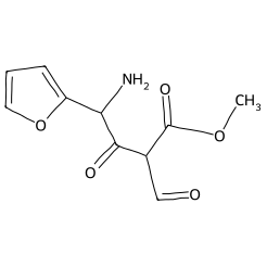 COC(=O)C(C=O)C(=O)C(N)c1ccco1